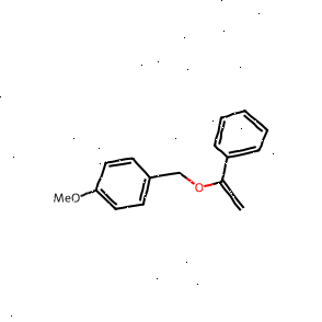 C=C(OCc1ccc(OC)cc1)c1ccccc1